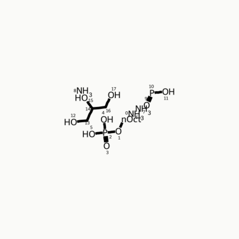 CCCCCCCCOP(=O)(O)O.N.N.N.O=PO.OCC(O)CO